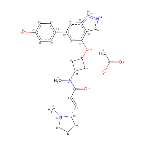 CC(=O)O.CN(C(=O)/C=C/[C@@H]1CCCN1C)C1CC(Oc2cc(-c3ccc(O)cc3)cc3[nH]ncc23)C1